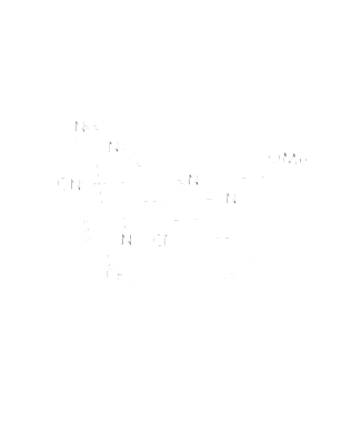 COCCN(C)c1nc2ccc(C(N=O)(c3ccc(C(F)(F)F)nc3)c3cncn3C)cc2c(Cl)c1-c1ccccc1